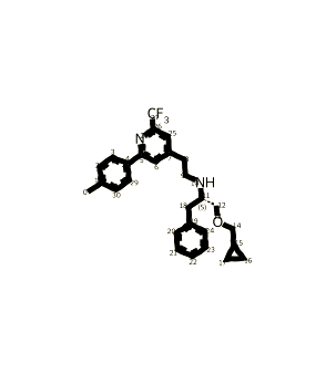 Cc1ccc(-c2cc(CCN[C@H](COCC3CC3)Cc3ccccc3)cc(C(F)(F)F)n2)cc1